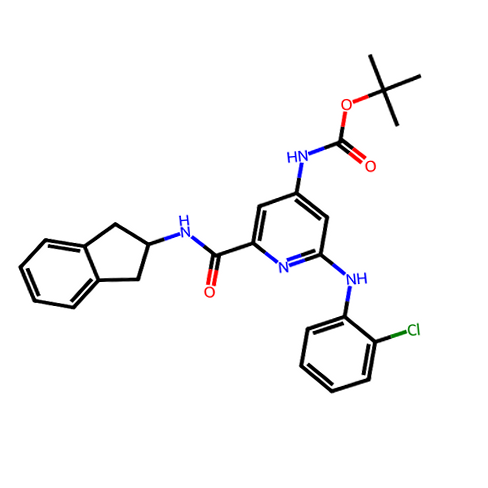 CC(C)(C)OC(=O)Nc1cc(Nc2ccccc2Cl)nc(C(=O)NC2Cc3ccccc3C2)c1